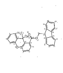 CC1(C)c2ccccc2Oc2cccc(C(=O)OCC3c4ccccc4-c4ccccc43)c21